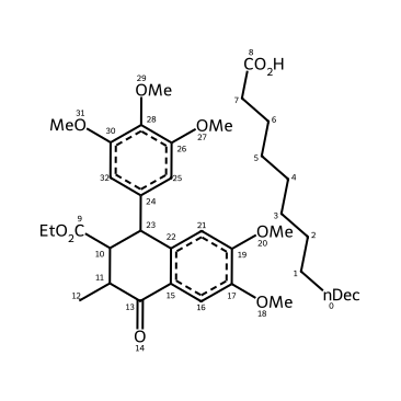 CCCCCCCCCCCCCCCCCC(=O)O.CCOC(=O)C1C(C)C(=O)c2cc(OC)c(OC)cc2C1c1cc(OC)c(OC)c(OC)c1